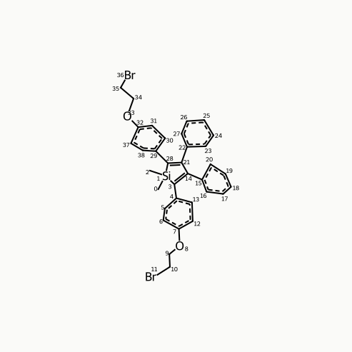 C[Si]1(C)C(c2ccc(OCCBr)cc2)=C(c2ccccc2)C(c2ccccc2)=C1c1ccc(OCCBr)cc1